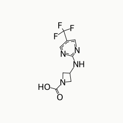 O=C(O)N1CC(Nc2ncc(C(F)(F)F)cn2)C1